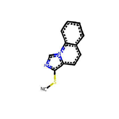 N#CSc1ncn2c1ccc1ccccc12